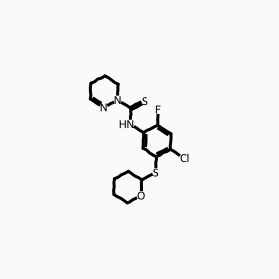 Fc1cc(Cl)c(SC2CCCCO2)cc1NC(=S)N1CCCC=N1